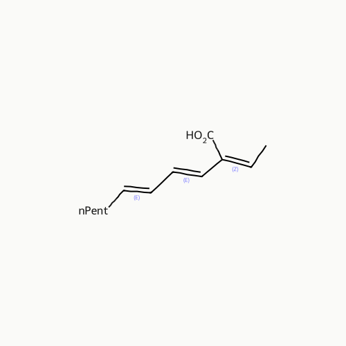 C/C=C(/C=C/C=C/CCCCC)C(=O)O